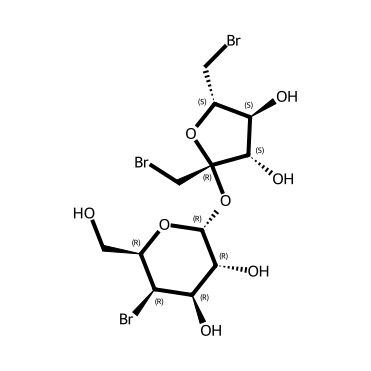 OC[C@H]1O[C@H](O[C@]2(CBr)O[C@H](CBr)[C@@H](O)[C@@H]2O)[C@H](O)[C@@H](O)[C@H]1Br